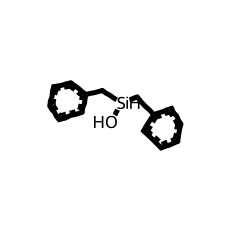 O[SiH](Cc1ccccc1)Cc1ccccc1